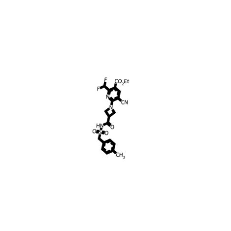 CCOC(=O)c1cc(C#N)c(N2CC(C(=O)NS(=O)(=O)Cc3ccc(C)cc3)C2)nc1C(F)F